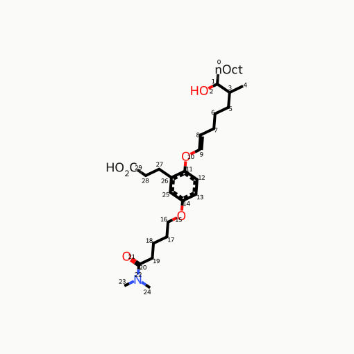 CCCCCCCCC(O)C(C)CCCC=COc1ccc(OCCCCC(=O)N(C)C)cc1CCC(=O)O